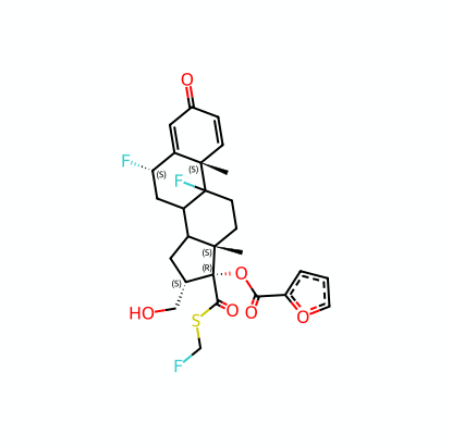 C[C@]12C=CC(=O)C=C1[C@@H](F)CC1C3C[C@@H](CO)[C@](OC(=O)c4ccco4)(C(=O)SCF)[C@@]3(C)CCC12F